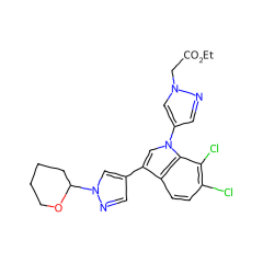 CCOC(=O)Cn1cc(-n2cc(-c3cnn(C4CCCCO4)c3)c3ccc(Cl)c(Cl)c32)cn1